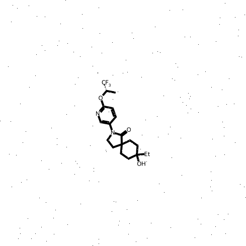 CCC1(O)CCC2(CCN(c3ccc(O[C@@H](C)C(F)(F)F)nc3)C2=O)CC1